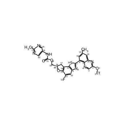 CCOc1cnc2c(-c3nc4cc(F)c5c(c4s3)C[C@H](COC(=O)Nc3cnc(C)nc3)O5)cc(C)cc2n1